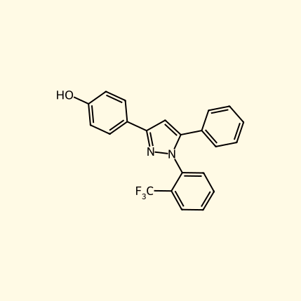 Oc1ccc(-c2cc(-c3ccccc3)n(-c3ccccc3C(F)(F)F)n2)cc1